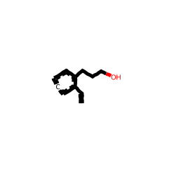 C=Cc1ccccc1CCCO